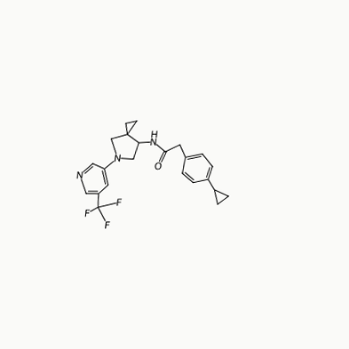 O=C(Cc1ccc(C2CC2)cc1)NC1CN(c2cncc(C(F)(F)F)c2)CC12CC2